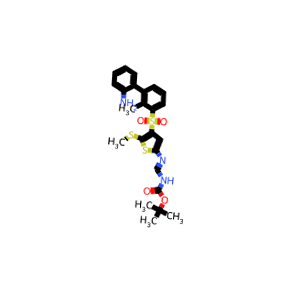 CSc1sc(N=CNC(=O)OC(C)(C)C)cc1S(=O)(=O)c1cccc(-c2ccccc2N)c1C